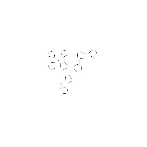 CC1(C)c2ccccc2-c2ccc(N(c3cccc(-c4cccc5c4sc4ccccc45)c3)c3ccc4c(c3)-c3ccccc3C4(c3ccccc3)c3ccccc3)cc21